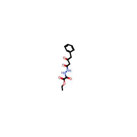 CCOC(=O)C(=O)NNC(=O)CC(=O)Cc1ccccc1